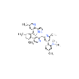 Cc1cnc(-c2ccnn2C)c(Cc2cc(C)cc(C)c2-c2ccnc(Cc3cc(-c4ccc(C)cc4N(C)C)cc(C)n3)c2)c1